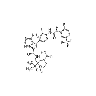 CC(C)(C)C1(CNC(=O)c2cc(-c3ccc(NC(=O)Nc4cc(C(F)(F)F)ccc4F)c(F)c3)c3c(N)ncnn23)CN(C(=O)O)CCO1